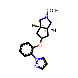 O=C(O)N1C[C@H]2CC(Oc3ccccc3-n3cccn3)C[C@@H]2C1